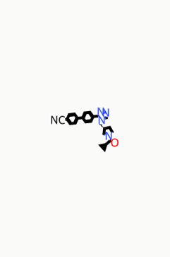 N#Cc1ccc(-c2ccc(-c3nncn3C[C@@H]3CCN(C(=O)C4CC4)C3)cc2)cc1